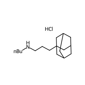 CCCCNCCCC12CC3CC(CC(C3)C1)C2.Cl